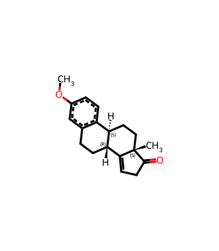 COc1ccc2c(c1)CC[C@H]1C3=CCC(=O)[C@@]3(C)CC[C@H]21